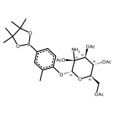 CC(=O)OC[C@H]1O[C@H](Oc2ccc(B3OC(C)(C)C(C)(C)O3)cc2C)[C@@](N)(OC(C)=O)[C@@H](OC(C)=O)[C@@H]1OC(C)=O